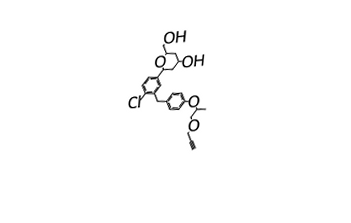 C#CCOCC(C)Oc1ccc(Cc2cc(C3CC(O)CC(CO)O3)ccc2Cl)cc1